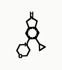 c1c2c(cc(N3CCOCC3)c1C1CC1)CNC2